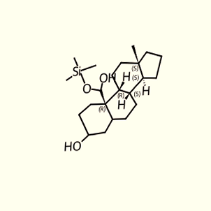 C[C@@]12CCC[C@H]1[C@@H]1CCC3CC(O)CC[C@]3(C(O)O[Si](C)(C)C)[C@@H]1CC2